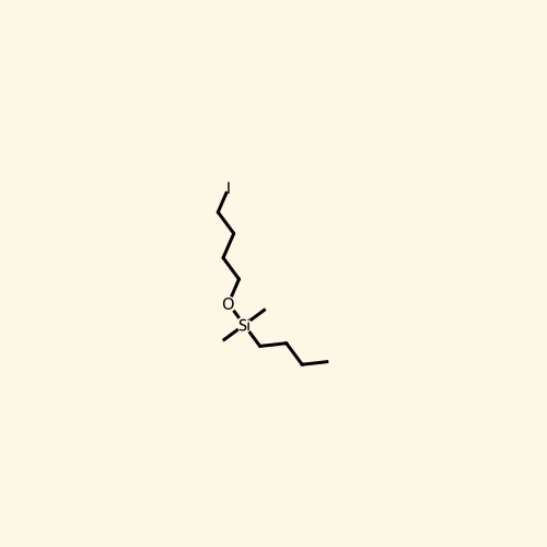 CCCC[Si](C)(C)OCCCCI